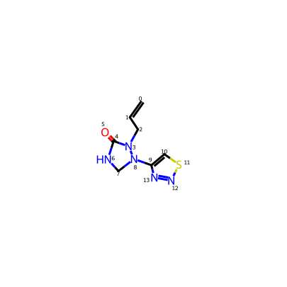 C=CCN1C(=O)NCN1c1csnn1